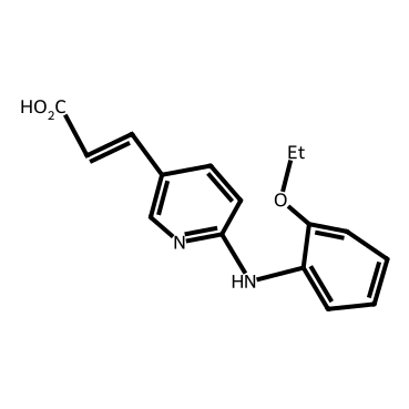 CCOc1ccccc1Nc1ccc(/C=C/C(=O)O)cn1